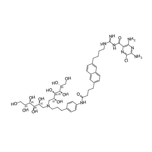 N=C(NCCCCc1ccc2cc(CCCC(=O)Nc3ccc(CCCN(C[C@H](O)[C@@H](O)[C@H](O)[C@H](O)CO)C[C@H](O)[C@@H](O)[C@H](O)[C@H](O)CO)cc3)ccc2c1)NC(=O)c1nc(Cl)c(N)nc1N